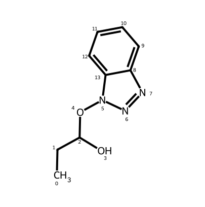 CCC(O)On1nnc2ccccc21